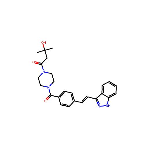 CC(C)(O)CC(=O)N1CCN(C(=O)c2ccc(C=Cc3n[nH]c4ccccc34)cc2)CC1